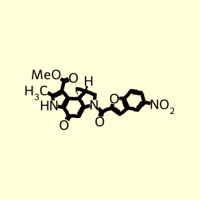 COC(=O)c1c(C)[nH]c2c1[C@@]13C[C@@H]1CN(C(=O)c1cc4cc([N+](=O)[O-])ccc4o1)C3=CC2=O